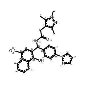 Cc1nn(C)c(C)c1CC(=O)NC(c1ccc(-n2cccn2)cc1)c1cc([N+](=O)[O-])c2cccnc2c1O